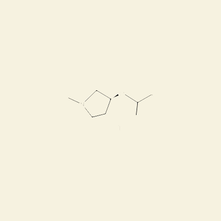 CN1C[C@@H](F)[C@H](OC(I)I)C1